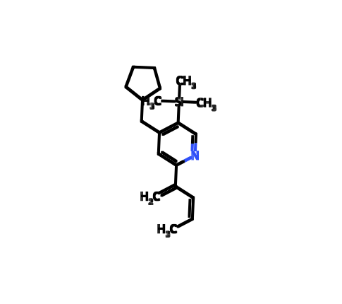 C=C(/C=C\C)c1cc(CC2CCCC2)c([Si](C)(C)C)cn1